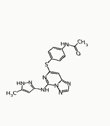 CC(=O)Nc1ccc(Sc2cc3ncnn3c(Nc3cc(C)[nH]n3)n2)cc1